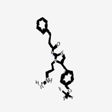 CNCCCN1/C(=N/C(=O)CCc2ccccc2)SCC1c1ccc(OC(F)(F)F)cc1